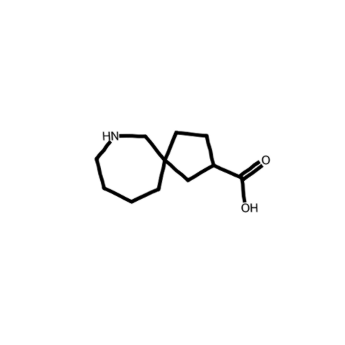 O=C(O)C1CCC2(CCCCNC2)C1